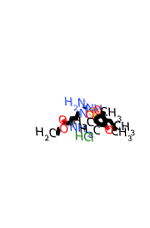 C=CCOC(=O)[C@@H](N)CCCN=C(N)NS(=O)(=O)c1c(C)c(C)c2c(c1C)CC(C)(C)O2.Cl